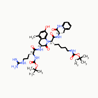 Cc1cc(O)cc2c1C[C@H](NC(=O)[C@@H](CCCNC(=N)N)NC(=O)OC(C)(C)C)C(=O)N2[C@@H](CCCCCNC(=O)OC(C)(C)C)C(=O)N[C@@H](Cc1ccccc1)C(N)=O